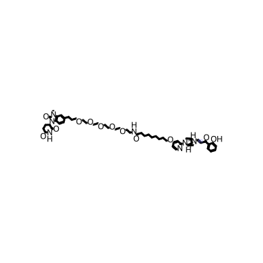 Cn1c(=O)n(C2CCC(=O)NC2=O)c2ccc(CCCOCCOCCOCCOCCOCCNC(=O)CCCCCCCCOc3ccnc(N4C[C@H]5C[C@@H]4CN5/C=C/C(=O)c4ccccc4O)c3)cc21